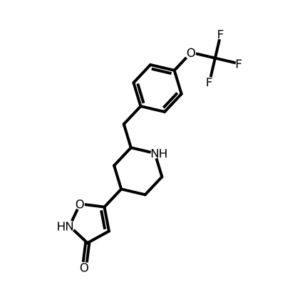 O=c1cc(C2CCNC(Cc3ccc(OC(F)(F)F)cc3)C2)o[nH]1